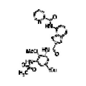 COc1c(NC(=O)c2cc3cccc(NC(=O)c4ccccn4)c3s2)cc(C(C)(C)C)cc1NS(C)(=O)=O